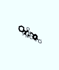 O=c1c2c3c(sc2nc(C(F)(F)F)n1Cc1ccc(Cl)cc1)CCCCC3